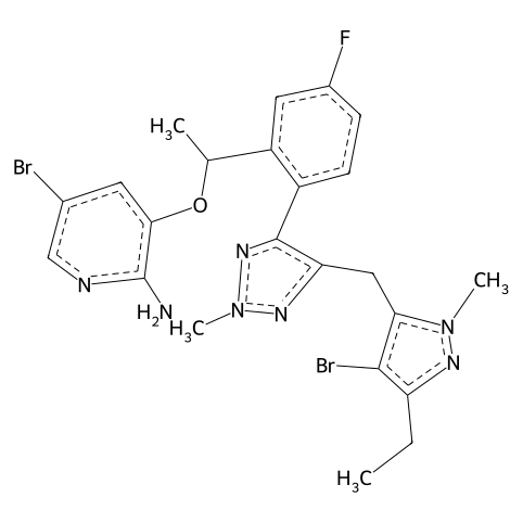 CCc1nn(C)c(Cc2nn(C)nc2-c2ccc(F)cc2C(C)Oc2cc(Br)cnc2N)c1Br